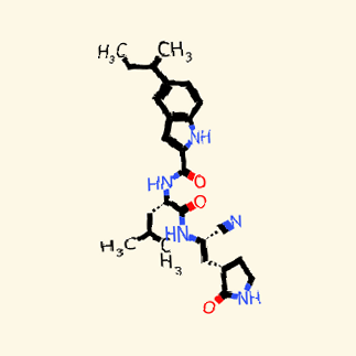 CCC(C)c1ccc2[nH]c(C(=O)N[C@@H](CC(C)C)C(=O)N[C@H](C#N)C[C@@H]3CCNC3=O)cc2c1